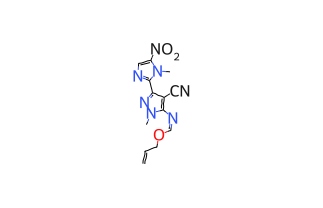 C=CCO/C=N\c1c(C#N)c(-c2ncc([N+](=O)[O-])n2C)nn1C